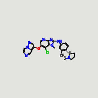 CN1CCC[C@H]1c1ccc(Nc2nc3ncc(Oc4cnn5ccncc45)c(Cl)c3n2C)cc1C(F)(F)F